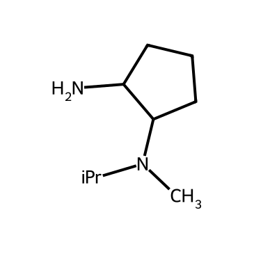 CC(C)N(C)C1CCCC1N